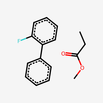 CCC(=O)OC.Fc1ccccc1-c1ccccc1